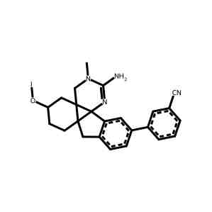 CN1CC23CC(OI)CCC24Cc2ccc(-c5cccc(C#N)c5)cc2C43N=C1N